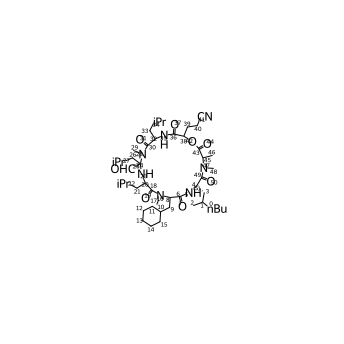 CCCCC(C)C[C@@H]1NC(=O)C(CC2CCCCC2)N(C)C(=O)C(CC(C)C)NC(C=O)(CC(C)C)N(C)C(=O)C(CC(C)C)NC(=O)C(CCC#N)OC(=O)C(C)N(C)C1=O